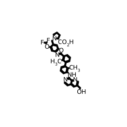 Cc1c(Nc2nccc3cc(CO)cnc23)cccc1-c1cccc(-c2nc3cc(OC(F)F)c(CN4CCC[C@H]4C(=O)O)cc3o2)c1C